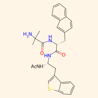 CC(=O)N[C@@H](Cc1csc2ccccc12)NC(=O)[C@@H](Cc1ccc2ccccc2c1)NC(=O)C(C)(C)N